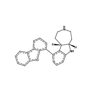 c1cc2c(c(-c3cccc4c3oc3ccccc34)c1)[C@@H]1CCNCC[C@@H]1N2